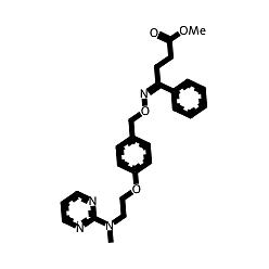 COC(=O)CC/C(=N/OCc1ccc(OCCN(C)c2ncccn2)cc1)c1ccccc1